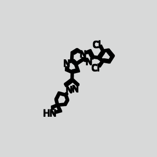 Clc1cccc(Cl)c1-c1cn2ccc3ncc(-c4cnn(C5CCC6(CC5)CNC6)c4)cc3c2n1